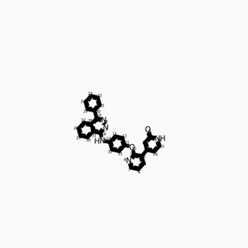 O=c1cc(-c2cccnc2Oc2ccc(Nc3nnc(-c4ccccc4)c4ccccc34)cc2)cc[nH]1